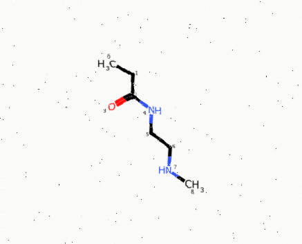 CCC(=O)NCCNC